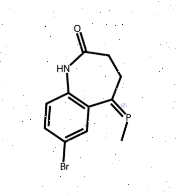 C/P=C1/CCC(=O)Nc2ccc(Br)cc21